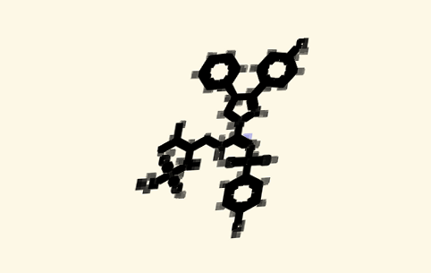 CC(C)C(CN/C(=N\S(=O)(=O)c1ccc(Cl)cc1)N1C[C@@H](c2ccccc2)C(c2ccc(Cl)cc2)=N1)NS(N)(=O)=O